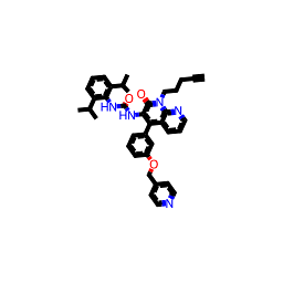 C#CCCCn1c(=O)c(NC(=O)Nc2c(C(C)C)cccc2C(C)C)c(-c2cccc(OCc3ccncc3)c2)c2cccnc21